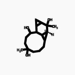 CC1(O)CCCC2C3C(C(O)CC1)C1CC1C(C)(O)[C@@H]23